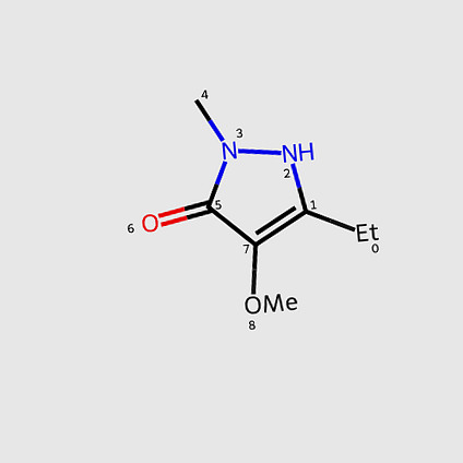 CCc1[nH]n(C)c(=O)c1OC